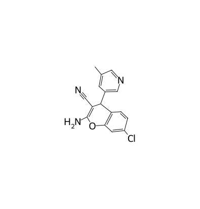 Cc1cncc(C2C(C#N)=C(N)Oc3cc(Cl)ccc32)c1